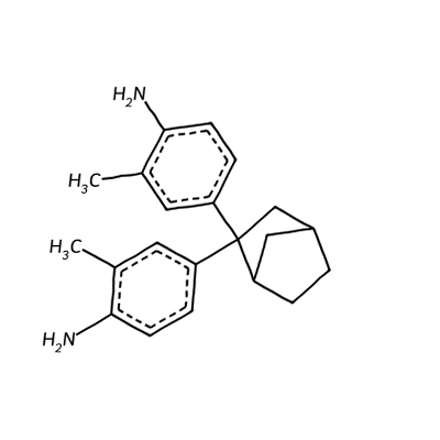 Cc1cc(C2(c3ccc(N)c(C)c3)CC3CCC2C3)ccc1N